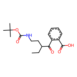 CCC(CCNC(=O)OC(C)(C)C)C(=O)c1ccccc1C(=O)O